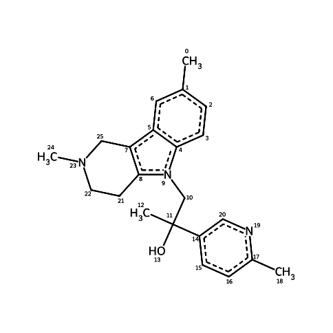 Cc1ccc2c(c1)c1c(n2CC(C)(O)c2ccc(C)nc2)CCN(C)C1